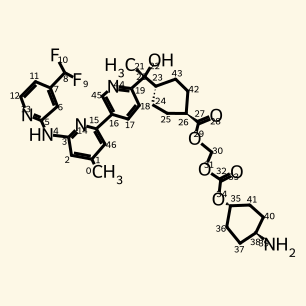 Cc1cc(Nc2cc(C(F)F)ccn2)nc(-c2ccc([C@](C)(O)[C@H]3CC[C@H](C(=O)OCOC(=O)O[C@H]4CC[C@H](N)CC4)CC3)nc2)c1